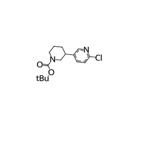 CC(C)(C)OC(=O)N1CCCC(c2ccc(Cl)nc2)C1